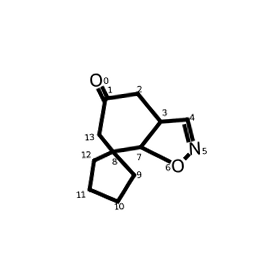 O=C1CC2C=NOC2C2(CCCC2)C1